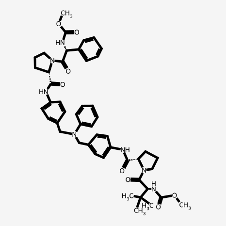 COC(=O)N[C@H](C(=O)N1CCC[C@H]1C(=O)Nc1ccc(CN(Cc2ccc(NC(=O)[C@@H]3CCCN3C(=O)[C@H](NC(=O)OC)c3ccccc3)cc2)c2ccccc2)cc1)C(C)(C)C